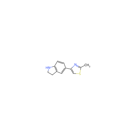 Cc1nc(-c2ccc3c(c2)CCN3)cs1